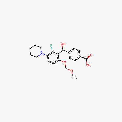 COCOc1ccc(N2CCCCC2)c(F)c1C(O)c1ccc(C(=O)O)cc1